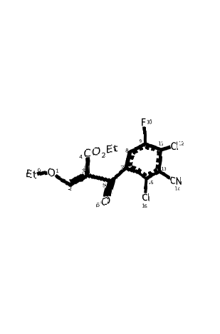 CCO/C=C(\C(=O)OCC)C(=O)c1cc(F)c(Cl)c(C#N)c1Cl